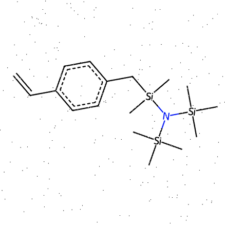 C=Cc1ccc(C[Si](C)(C)N([Si](C)(C)C)[Si](C)(C)C)cc1